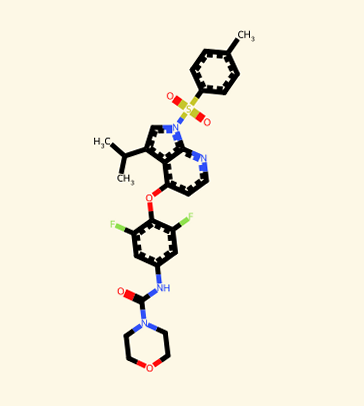 Cc1ccc(S(=O)(=O)n2cc(C(C)C)c3c(Oc4c(F)cc(NC(=O)N5CCOCC5)cc4F)ccnc32)cc1